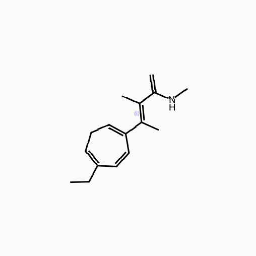 C=C(NC)/C(C)=C(\C)C1=CCC=C(CC)C=C1